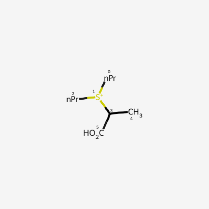 CCC[S+](CCC)C(C)C(=O)O